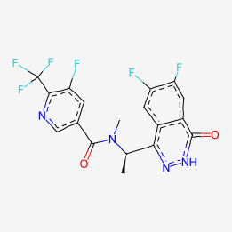 C[C@H](c1n[nH]c(=O)c2cc(F)c(F)cc12)N(C)C(=O)c1cnc(C(F)(F)F)c(F)c1